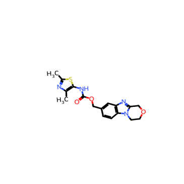 Cc1nc(C)c(NC(=O)OCc2ccc3c(c2)nc2n3CCOC2)s1